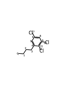 [CH2]CCCc1cc(Cl)cc(Cl)c1Cl